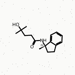 CC(C)(O)CCC(=O)N[C@@]1(C)CCc2ccccc21